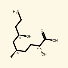 C[C@H](CC[C@@H](O)C(=O)O)C[C@H](O)CCN